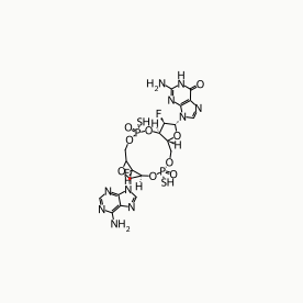 Nc1nc2c(ncn2[C@@H]2O[C@@H]3CO[P@](=O)(S)O[C@@H]4[C@H](F)C(CO[P@@](=O)(S)O[C@H]3[C@H]2F)O[C@H]4n2cnc3c(N)ncnc32)c(=O)[nH]1